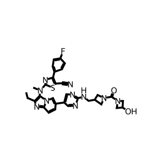 CCc1nc2ccc(-c3cnc(NCC4CN(C(=O)N5CC(O)C5)C4)nc3)cn2c1N(C)c1nc(-c2ccc(F)cc2)c(C#N)s1